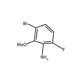 COc1c(Br)ccc(F)c1N